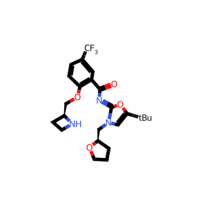 CC(C)(C)c1cn(C[C@H]2CCCO2)/c(=N/C(=O)c2cc(C(F)(F)F)ccc2OC[C@@H]2CCN2)o1